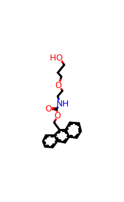 O=C(NCCOCCCO)OCc1c2ccccc2cc2ccccc12